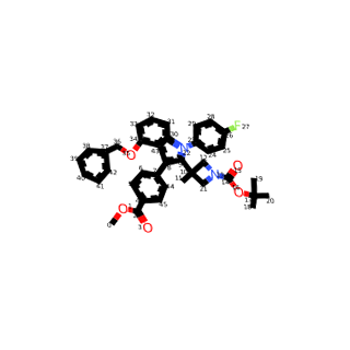 COC(=O)c1ccc(-c2c(C3(C)CN(C(=O)OC(C)(C)C)C3)n(-c3ccc(F)cc3)c3cccc(OCc4ccccc4)c23)cc1